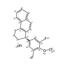 CCC[C@@H]1CCc2c(ccc3ccccc23)[C@H]1c1cc(F)c(OC(F)(F)F)c(F)c1